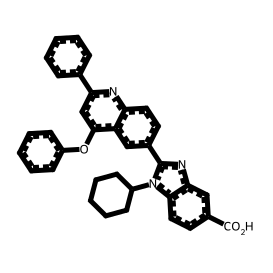 O=C(O)c1ccc2c(c1)nc(-c1ccc3nc(-c4ccccc4)cc(Oc4ccccc4)c3c1)n2C1CCCCC1